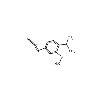 COc1cc(N=[N+]=[N-])ccc1C(C)C